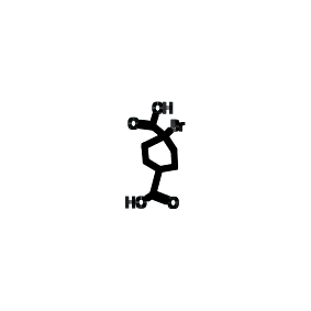 O=C(O)C1CCC(Br)(C(=O)O)CC1